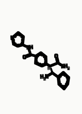 NC(=O)[C@@H](c1ccc(C(=O)Nc2ccncc2)cc1)C(N)c1ccccc1